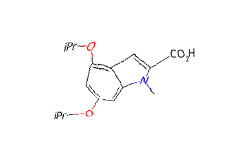 CC(C)Oc1cc(OC(C)C)c2cc(C(=O)O)n(C)c2c1